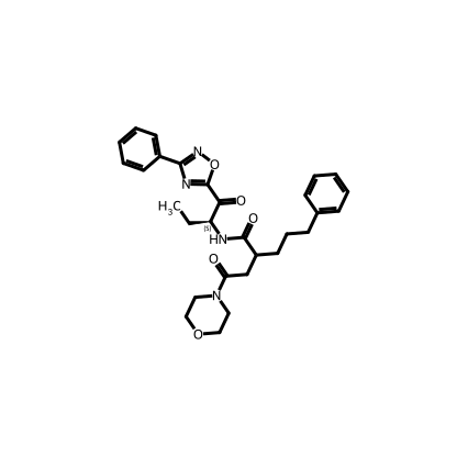 CC[C@H](NC(=O)C(CCCc1ccccc1)CC(=O)N1CCOCC1)C(=O)c1nc(-c2ccccc2)no1